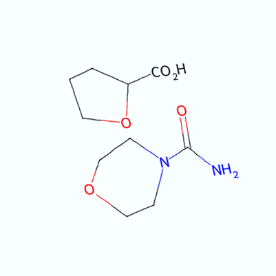 NC(=O)N1CCOCC1.O=C(O)C1CCCO1